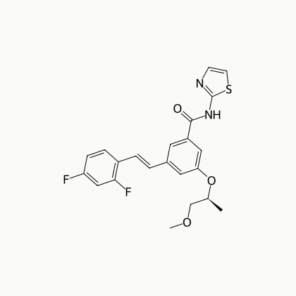 COC[C@H](C)Oc1cc(C=Cc2ccc(F)cc2F)cc(C(=O)Nc2nccs2)c1